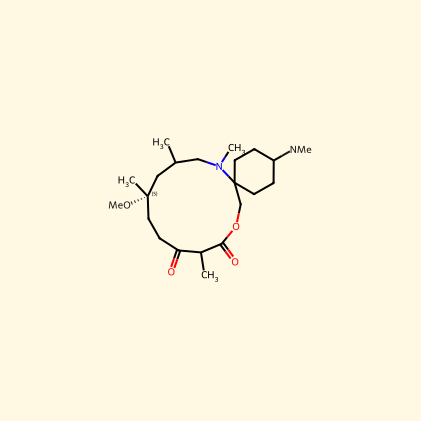 CNC1CCC2(CC1)COC(=O)C(C)C(=O)CC[C@](C)(OC)CC(C)CN2C